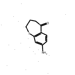 Nc1ccc2c(c1)SCCCC2=O